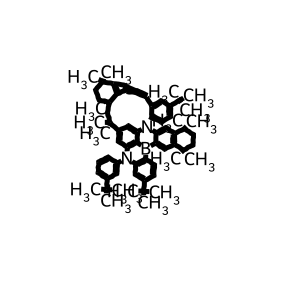 CC(C)(C)c1cccc(N2c3cc(C(C)(C)C)ccc3B3c4cc5c(cc4N4c6ccc(C(C)(C)C)cc6-c6ccc7c(c6)C(C)(C)CCC7(C)CC(C)(C)c6cc2c3c4c6)C(C)(C)CCC5(C)C)c1